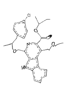 COCc1c(C(=O)OC(C)C)nc(OC(C)c2ccc(Cl)cc2)c2[nH]c3ccccc3c12